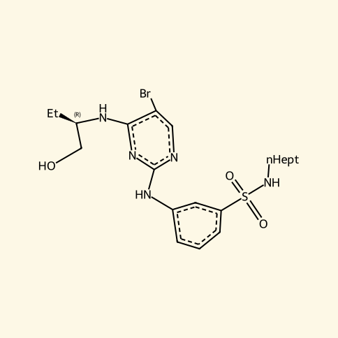 CCCCCCCNS(=O)(=O)c1cccc(Nc2ncc(Br)c(N[C@H](CC)CO)n2)c1